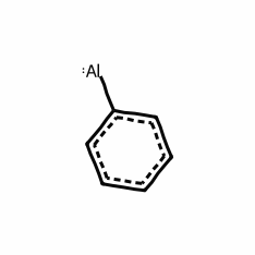 [Al][c]1ccccc1